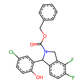 O=C(OCc1ccccc1)N1Cc2c(ccc(F)c2F)C1c1cc(Cl)ccc1O